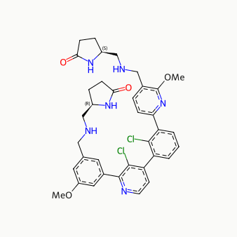 COc1cc(CNC[C@H]2CCC(=O)N2)cc(-c2nccc(-c3cccc(-c4ccc(CNC[C@@H]5CCC(=O)N5)c(OC)n4)c3Cl)c2Cl)c1